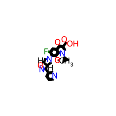 COc1c(N2C[C@@H]3C(c4cccnc4)=NO[C@@H]3C2)c(F)cc2c(=O)c(C(=O)O)cn(C3CC3)c12